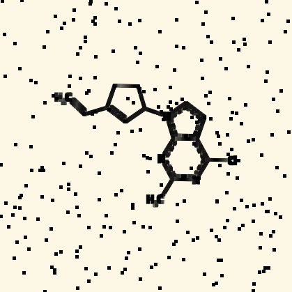 C=CC1=CC(n2ccc3c(Cl)nc(C)nc32)CC1